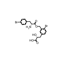 N[C@H](Cc1ccc(Br)cc1)C(=O)OCc1cc(C[C@@H](O)C(=O)O)ccc1Br